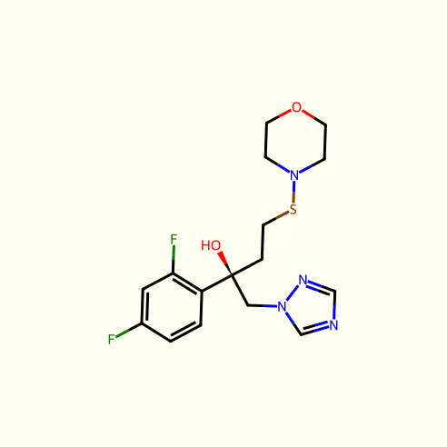 O[C@@](CCSN1CCOCC1)(Cn1cncn1)c1ccc(F)cc1F